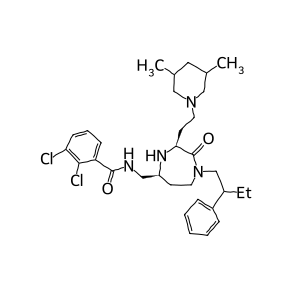 CCC(CN1CC[C@@H](CNC(=O)c2cccc(Cl)c2Cl)N[C@@H](CCN2CC(C)CC(C)C2)C1=O)c1ccccc1